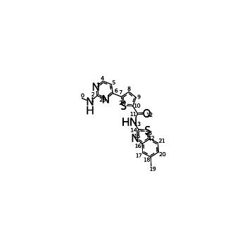 CNc1nccc(-c2ccc(C(=O)Nc3nc4cc(C)ccc4s3)s2)n1